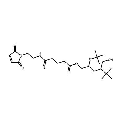 CC(C)(C)OC(COC(=O)CCCC(=O)NCCN1C(=O)C=CC1=O)OC(CO)C(C)(C)C